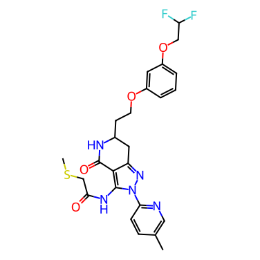 CSCC(=O)Nc1c2c(nn1-c1ccc(C)cn1)CC(CCOc1cccc(OCC(F)F)c1)NC2=O